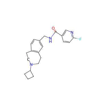 O=C(NCc1ccc2c(c1)CCN(C1CCC1)CC2)c1ccc(F)nc1